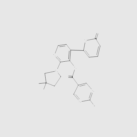 CC(C)c1ncc(C(=O)Nc2c(-c3cccc(=O)[nH]3)ccnc2N2CCC(F)(F)C2)cn1